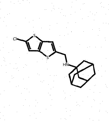 Clc1cc2sc(CNC34CC5CC(CC(C5)C3)C4)cc2s1